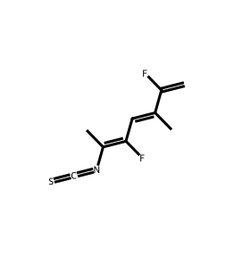 C=C(F)/C(C)=C/C(F)=C(\C)N=C=S